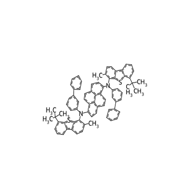 Cc1ccc2c(sc3c(C(C)(C)C)cccc32)c1N(c1cccc(-c2ccccc2)c1)c1ccc2ccc3c(N(c4cccc(-c5ccccc5)c4)c4c(C)ccc5c4sc4c(C(C)(C)C)cccc45)ccc4ccc1c2c43